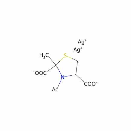 CC(=O)N1C(C(=O)[O-])CSC1(C)C(=O)[O-].[Ag+].[Ag+]